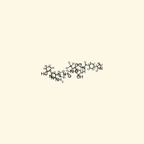 Cc1ncsc1-c1ccc([C@H](C)NC(=O)[C@@H]2C[C@@H](O)CN2C(=O)C(NCC(=O)N2CCN(c3cc(-c4ccccc4O)nnc3N)CC2)C(C)(C)C)cc1